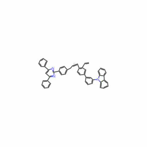 C=Cc1cc(-c2cccc(-n3c4ccccc4c4ccccc43)c2)ccc1/C=C\Cc1ccc(-c2nc(-c3ccccc3)cc(-c3ccccc3)n2)cc1